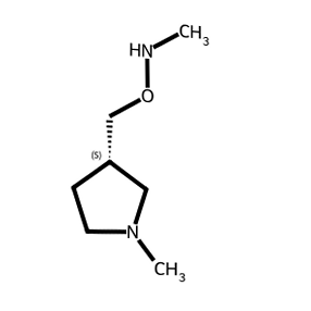 CNOC[C@H]1CCN(C)C1